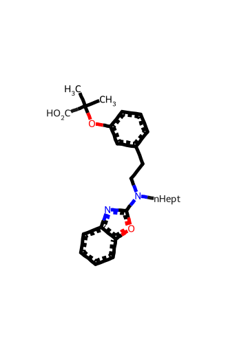 CCCCCCCN(CCc1cccc(OC(C)(C)C(=O)O)c1)c1nc2ccccc2o1